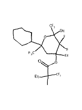 CCC1(OC(=O)C(C)(CC)C(F)(F)F)CC(C2CCCCC2)(C(F)(F)F)OC(O)(C(F)(F)F)C1(F)F